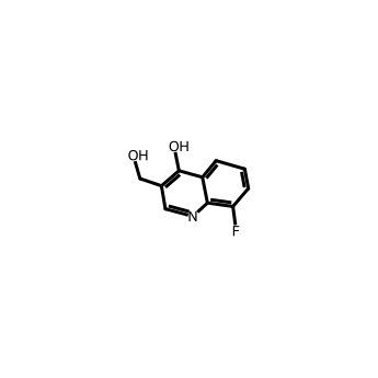 OCc1cnc2c(F)cccc2c1O